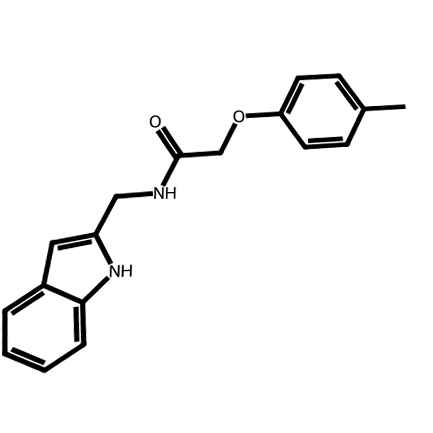 Cc1ccc(OCC(=O)NCc2cc3ccccc3[nH]2)cc1